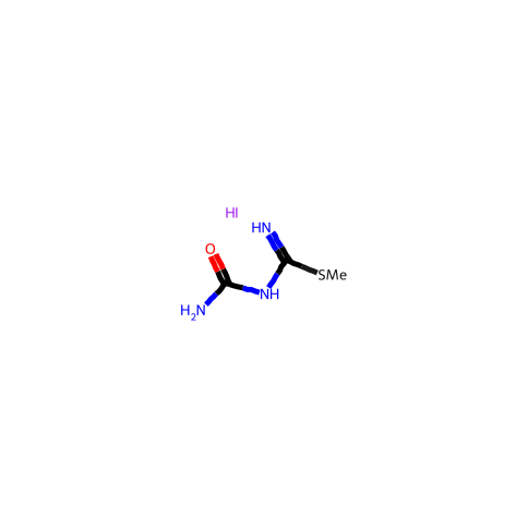 CSC(=N)NC(N)=O.I